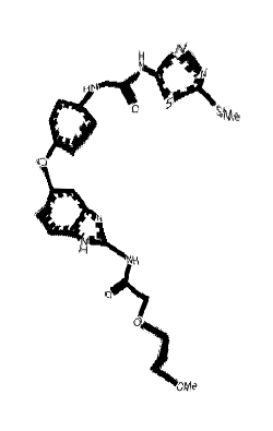 COCCOCC(=O)Nc1nc2cc(Oc3ccc(NC(=O)Nc4nnc(SC)s4)cc3)ccc2[nH]1